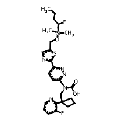 CCCC(F)[Si](C)(C)OCc1cnc(-c2ccc(N(CC3(c4ncccc4F)CCC3)C(=O)O)nn2)s1